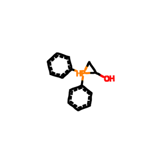 OC1C[PH]1(c1ccccc1)c1ccccc1